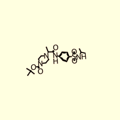 CC(C)NS(=O)(=O)c1ccc(NC(=O)C(C)N2CCN(C(=O)OC(C)(C)C)CC2)cc1